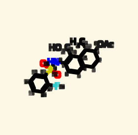 CC(=O)O[C@H]1CCc2ccc(NS(=O)(=O)c3ccccc3F)c(C(=O)O)c2[C@@H]1C